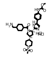 COC(=O)Nc1ccc(-c2cnc([C@@H]3C[C@H](C4CCN(S(C)(=O)=O)CC4)CN3C(=O)C3CCC(CN)CC3)[nH]2)cc1.Cl.Cl